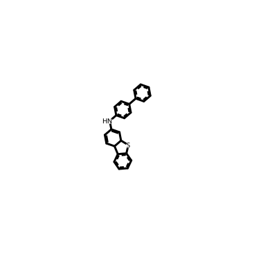 C1=CC2c3ccccc3SC2C=C1Nc1ccc(-c2ccccc2)cc1